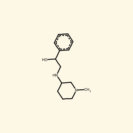 CN1CCCC(NCC(O)c2ccccc2)C1